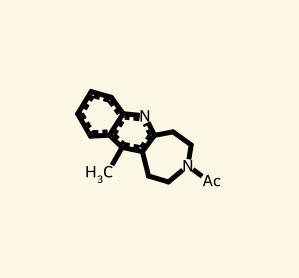 CC(=O)N1CCc2nc3ccccc3c(C)c2CC1